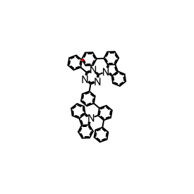 c1ccc(-c2nc(-c3cccc(-c4cccc(-c5ccccc5)c4-n4c5ccccc5c5ccccc54)c3)nc(-n3c4ccccc4c4cccc(-c5ccccc5)c43)n2)cc1